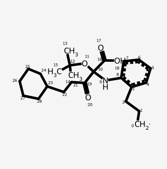 [CH2]CCc1ccccc1NC(OC(C)(C)C)(C(=O)O)C(=O)CCC1CCCCC1